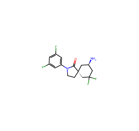 N[C@H]1CC(F)(F)C[C@@]2(CCN(c3cc(F)cc(F)c3)C2=O)C1